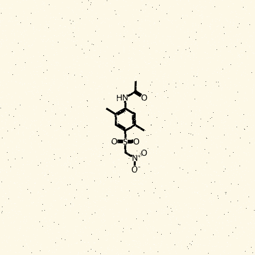 CC(=O)Nc1cc(C)c(S(=O)(=O)C[N+](=O)[O-])cc1C